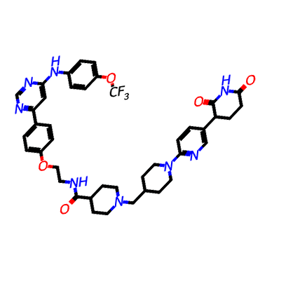 O=C1CCC(c2ccc(N3CCC(CN4CCC(C(=O)NCCOc5ccc(-c6cc(Nc7ccc(OC(F)(F)F)cc7)ncn6)cc5)CC4)CC3)nc2)C(=O)N1